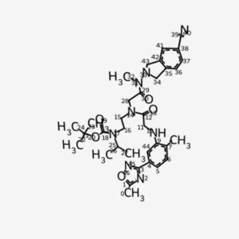 Cc1nc(-c2ccc(C)c(NCC(=O)N(CCN(C(=O)OC(C)(C)C)C(C)C)CC(=O)N(C)N3Cc4ccc(C#N)cc4C3)c2)no1